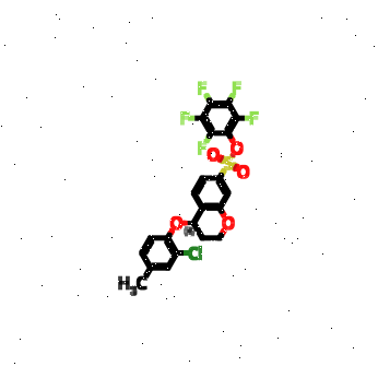 Cc1ccc(O[C@@H]2CCOc3cc(S(=O)(=O)Oc4c(F)c(F)c(F)c(F)c4F)ccc32)c(Cl)c1